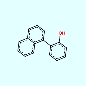 Oc1[c]cccc1-c1cccc2ccccc12